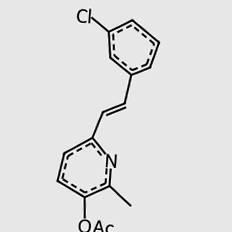 CC(=O)Oc1ccc(/C=C/c2cccc(Cl)c2)nc1C